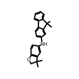 CC1(C)COc2ccc(Nc3ccc4c(c3)C(C)(C)c3ccccc3-4)cc21